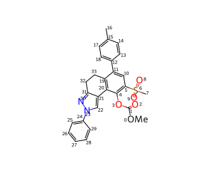 COC(=O)Oc1c(S(C)(=O)=O)cc(-c2ccc(C)cc2)c2c1-c1cn(-c3ccccc3)nc1CC2